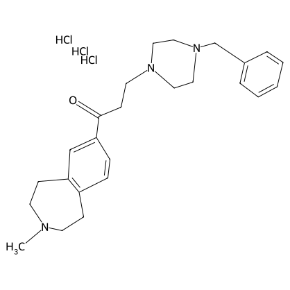 CN1CCc2ccc(C(=O)CCN3CCN(Cc4ccccc4)CC3)cc2CC1.Cl.Cl.Cl